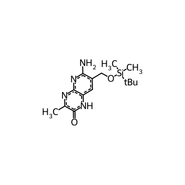 Cc1nc2nc(N)c(CO[Si](C)(C)C(C)(C)C)cc2[nH]c1=O